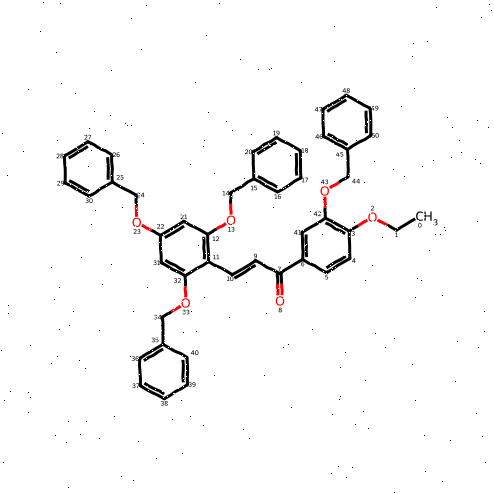 CCOc1ccc(C(=O)C=Cc2c(OCc3ccccc3)cc(OCc3ccccc3)cc2OCc2ccccc2)cc1OCc1ccccc1